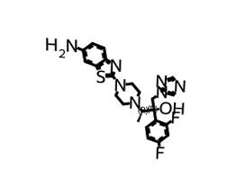 C[C@@H](N1CCN(c2nc3ccc(N)cc3s2)CC1)[C@](O)(Cn1cncn1)c1ccc(F)cc1F